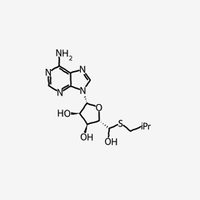 CC(C)CSC(O)[C@H]1O[C@@H](n2cnc3c(N)ncnc32)[C@H](O)[C@@H]1O